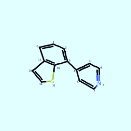 [c]1ccc(-c2ccncc2)c2sccc12